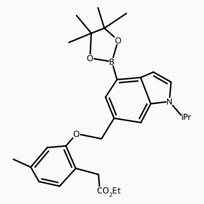 CCOC(=O)Cc1ccc(C)cc1OCc1cc(B2OC(C)(C)C(C)(C)O2)c2ccn(C(C)C)c2c1